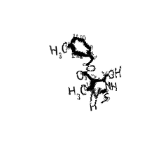 CC1=C(C(=O)OCCc2cccc(C)c2)C(CO)NC(=S)N1